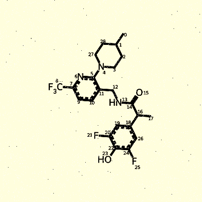 CC1CCN(c2nc(C(F)(F)F)ccc2CNC(=O)C(C)c2cc(F)c(O)c(F)c2)CC1